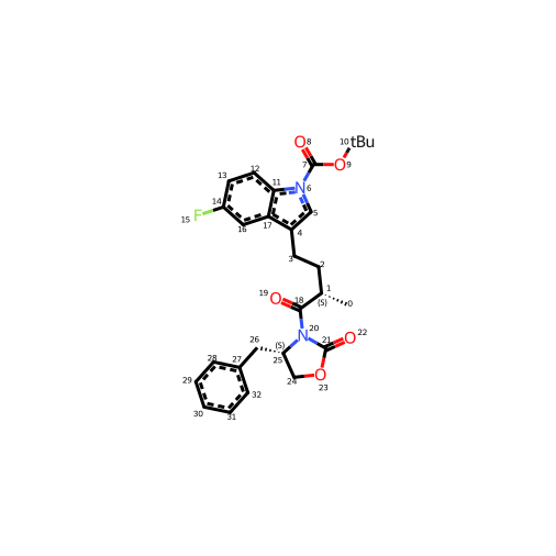 C[C@@H](CCc1cn(C(=O)OC(C)(C)C)c2ccc(F)cc12)C(=O)N1C(=O)OC[C@@H]1Cc1ccccc1